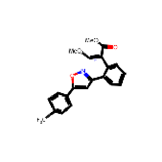 CO/C=C(\C(=O)OC)c1ccccc1-c1cc(-c2ccc(C(F)(F)F)cc2)on1